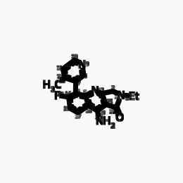 CCN1Cc2nc3c(-c4cnccc4C)c(F)ccc3c(N)c2C1=O